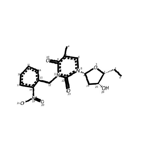 CC[C@H]1O[C@@H](n2cc(C)c(=O)n(Cc3ccccc3[N+](=O)[O-])c2=O)C[C@H]1O